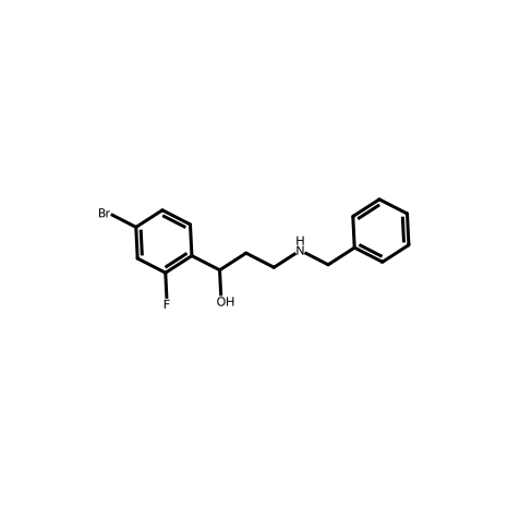 OC(CCNCc1ccccc1)c1ccc(Br)cc1F